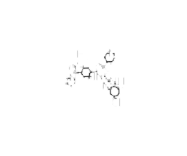 Cc1cc(C(=O)N[C@@H](CCc2ccncc2)c2nc3cc(Cl)ccc3[nH]2)ccc1C(=O)N1CCCC1